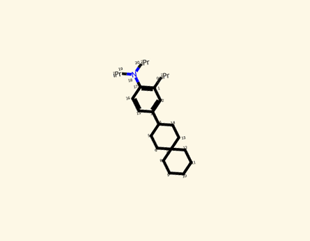 CC(C)c1cc(C2CCC3(CCCCC3)CC2)ccc1N(C(C)C)C(C)C